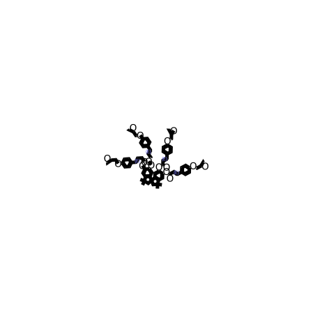 CC1(C)CC2(CC(C)(C)c3cc(OC(=O)/C=C/c4ccc(OCC5CO5)cc4)c(OC(=O)/C=C/c4ccc(OCC5CO5)cc4)cc32)c2cc(OOC/C=C/c3ccc(OCC4CO4)cc3)c(OOC/C=C/c3ccc(OCC4CO4)cc3)cc21